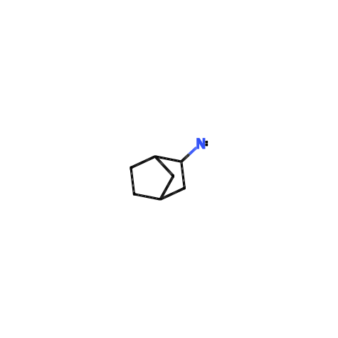 [N]C1CC2CCC1C2